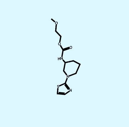 COCCOC(=O)NC1CCCN(c2nccs2)C1